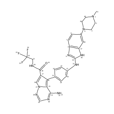 CN1CCN(c2ccc3nc(Nc4ccc(-c5c(C(=O)NCC(F)(F)F)cn6ncnc(N)c56)cc4)[nH]c3c2)CC1